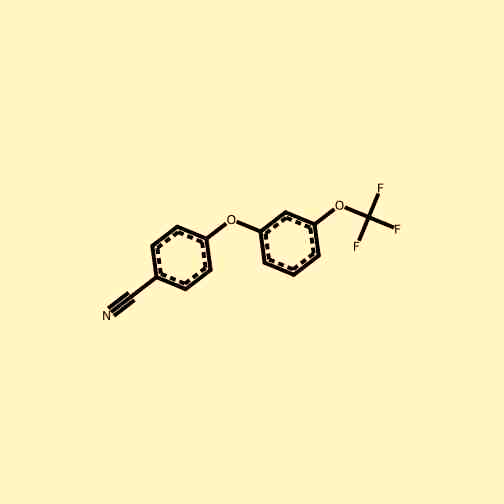 N#Cc1ccc(Oc2cccc(OC(F)(F)F)c2)cc1